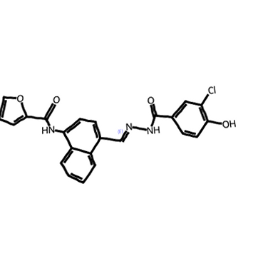 O=C(N/N=C/c1ccc(NC(=O)c2ccco2)c2ccccc12)c1ccc(O)c(Cl)c1